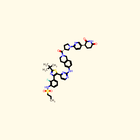 CCCS(=O)(=O)Nc1cccc(-c2nc(C(C)(C)C)sc2-c2ccnc(Nc3ccc4c(c3)CCN(C(=O)[C@@H]3CCN(c5ccc([C@@H]6CCC(=O)NC6=O)cn5)C3)C4)n2)c1F